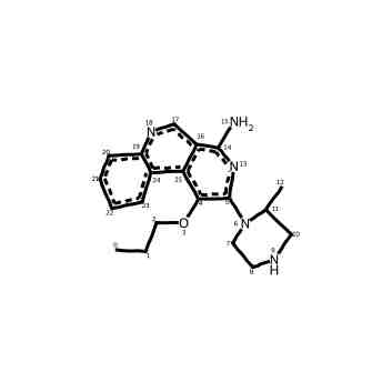 CCCOc1c(N2CCNCC2C)nc(N)c2cnc3ccccc3c12